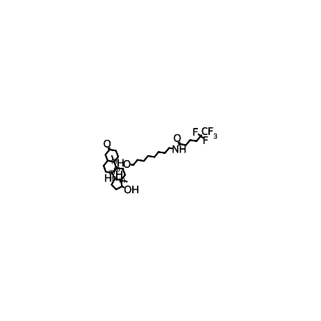 C[C@]12CCC(=O)CC1CC[C@@H]1[C@H]2C(OCCCCCCCCNC(=O)CCCC(F)(F)C(F)(F)F)C[C@]2(C)C(O)CC[C@@H]12